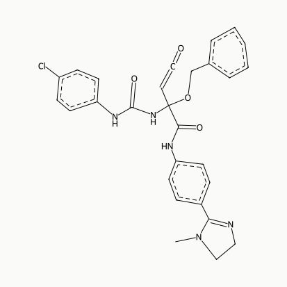 CN1CCN=C1c1ccc(NC(=O)C(C=C=O)(NC(=O)Nc2ccc(Cl)cc2)OCc2ccccc2)cc1